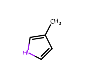 CC1=C[IH]C=C1